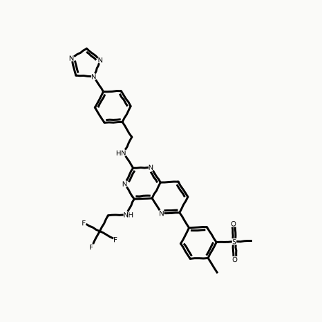 Cc1ccc(-c2ccc3nc(NCc4ccc(-n5cncn5)cc4)nc(NCC(F)(F)F)c3n2)cc1S(C)(=O)=O